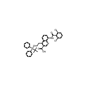 CC(C)(C)[Si](OCCc1c(C(=O)O)cnc2c(NC(=O)c3c(Cl)cccc3Cl)cccc12)(c1ccccc1)c1ccccc1